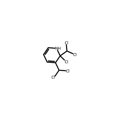 ClC(Cl)C1=CC=CNC1(Cl)C(Cl)Cl